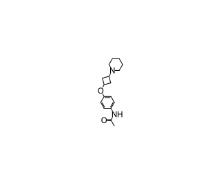 CC(=O)Nc1ccc(OC2CC(N3CCCCC3)C2)cc1